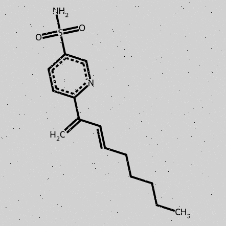 C=C(C=CCCCCC)c1ccc(S(N)(=O)=O)cn1